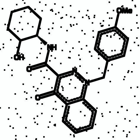 COc1ccc(Cn2nc(C(=O)N[C@H]3CCCCC3O)c(=O)c3ccccc32)cc1